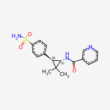 CC1(C)[C@@H](NC(=O)c2cccnc2)[C@@H]1c1ccc(S(N)(=O)=O)cc1